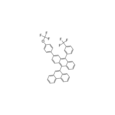 FC(F)(F)Oc1ccc(-c2ccc3c(-c4cc5ccccc5c5ccccc45)c4ccccc4c(-c4cccc(C(F)(F)F)c4)c3c2)cc1